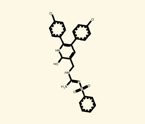 N/C(=N\S(=O)(=O)c1ccccc1)NCC1=CC(c2ccc(Cl)cc2)=C(c2ccc(Cl)cc2)NC1O